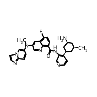 C[C@@H]1C[C@H](N)C[C@H](c2ccncc2NC(=O)c2ccc(F)c3cc(N(C)c4ccc5nccn5c4)cnc23)C1